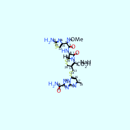 CO/N=C(\C(=O)N[C@@H]1C(=O)N2C(C(=O)O)=C(CSc3cc(C)nc4nc(C(N)=O)nn34)CS[C@H]12)c1csc(N)n1.[NaH]